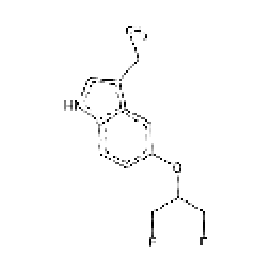 CCc1c[nH]c2ccc(OC(CF)CF)cc12